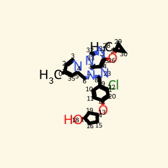 Cc1ccnc(Cn2c(-c3ccc(O[C@@H]4CC[C@@H](O)C4)cc3Cl)nc3c(OC4(C)CC4)ncnc32)c1